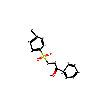 Cc1ccc(S(=O)(=O)CCC(=O)c2ccccc2)cc1